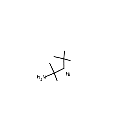 CC(C)(C)CC(C)(C)N.I